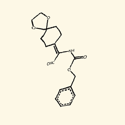 O=CC(NC(=O)OCc1ccccc1)=C1CCC2(CC1)OCCO2